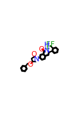 O=C1CC(OCc2ccccc2)CN1c1ccc2cc(-c3ccccc3C(F)(F)F)[nH]c(=O)c2c1